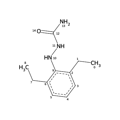 CCc1cccc(CC)c1NNC(N)=O